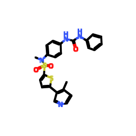 Cc1ccncc1-c1ccc(S(=O)(=O)N(C)c2ccc(NC(=O)Nc3ccccc3)cc2)s1